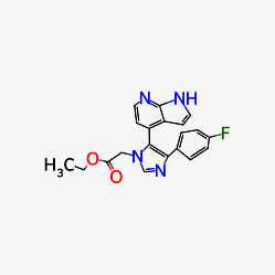 CCOC(=O)Cn1cnc(-c2ccc(F)cc2)c1-c1ccnc2[nH]ccc12